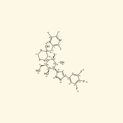 Cc1nc(C)c([C@H](S[C@@H]2O[C@H](CO)[C@H](O)[C@H](n3cc(-c4cc(F)c(F)c(F)c4)nn3)[C@H]2O)C2(O)CCCCC2)nc1C